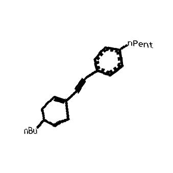 CCCCCc1ccc(C#CC2=CCC(CCCC)CC2)cc1